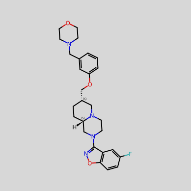 Fc1ccc2onc(N3CCN4C[C@@H](COc5cccc(CN6CCOCC6)c5)CC[C@H]4C3)c2c1